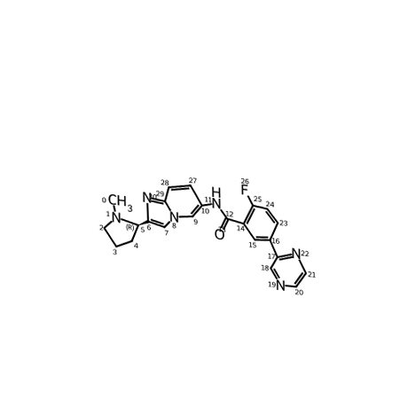 CN1CCC[C@@H]1c1cn2cc(NC(=O)c3cc(-c4cnccn4)ccc3F)ccc2n1